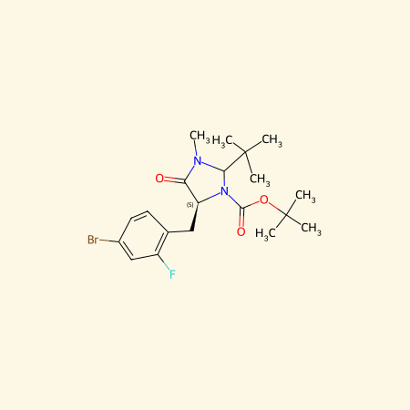 CN1C(=O)[C@H](Cc2ccc(Br)cc2F)N(C(=O)OC(C)(C)C)C1C(C)(C)C